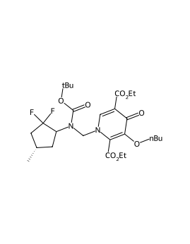 CCCCOc1c(C(=O)OCC)n(CN(C(=O)OC(C)(C)C)C2C[C@H](C)CC2(F)F)cc(C(=O)OCC)c1=O